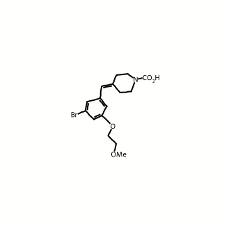 COCCOc1cc(Br)cc(C=C2CCN(C(=O)O)CC2)c1